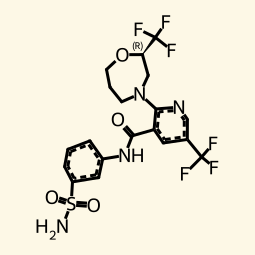 NS(=O)(=O)c1cccc(NC(=O)c2cc(C(F)(F)F)cnc2N2CCCO[C@@H](C(F)(F)F)C2)c1